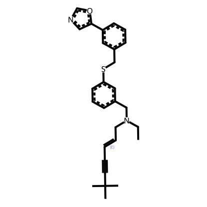 CCN(C/C=C/C#CC(C)(C)C)Cc1cccc(SCc2cccc(-c3cnco3)c2)c1